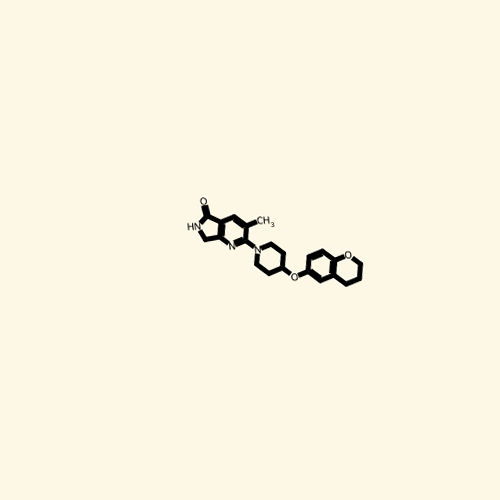 Cc1cc2c(nc1N1CCC(Oc3ccc4c(c3)CCCO4)CC1)CNC2=O